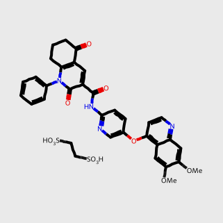 COc1cc2nccc(Oc3ccc(NC(=O)c4cc5c(n(-c6ccccc6)c4=O)CCCC5=O)nc3)c2cc1OC.O=S(=O)(O)CCS(=O)(=O)O